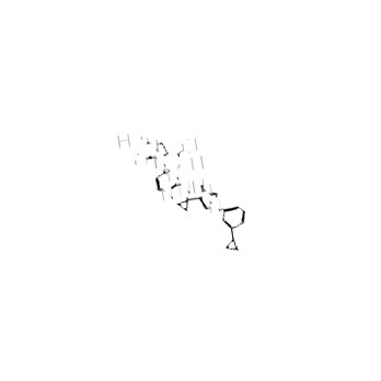 CC(C)[C@H]1CN(C)C(=O)N1c1ccnc(NC2(c3cn(-c4cccc(C5CC5)c4)cn3)CC2)n1